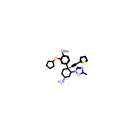 COc1ccc([C@@]2(C#Cc3cccs3)CC[C@H](N)CC2N2C=NC(C)O2)cc1OC1CCCC1